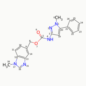 Cn1nc(NC(=O)OCc2ccc3c(c2)ncn3C)cc1-c1ccccc1